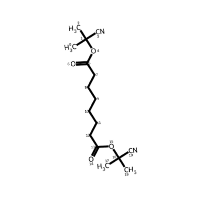 CC(C)(C#N)OC(=O)CCCCCCC(=O)OC(C)(C)C#N